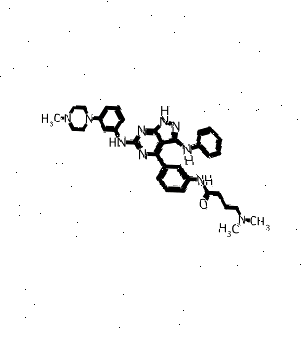 CN(C)CCCC(=O)Nc1cccc(-c2nc(Nc3cccc(N4CCN(C)CC4)c3)nc3[nH]nc(Nc4ccccc4)c23)c1